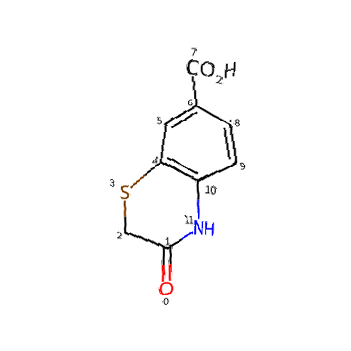 O=C1CSc2cc(C(=O)O)[c]cc2N1